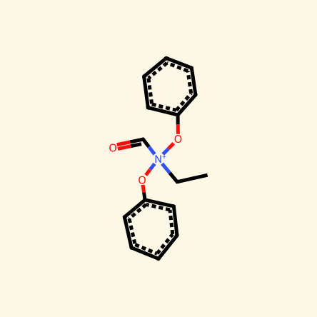 CC[N+](C=O)(Oc1ccccc1)Oc1ccccc1